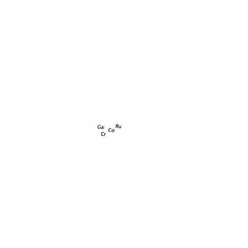 [Co].[Cr].[Ga].[Ru]